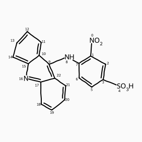 O=[N+]([O-])c1cc(S(=O)(=O)O)ccc1Nc1c2ccccc2nc2ccccc12